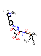 CCCCC(C)(CCC)SCC(=O)NCC(=O)N[C@@H](CCC(=O)O)C(=O)Nc1ccc(Cc2cc(C)n(C)c2)cc1